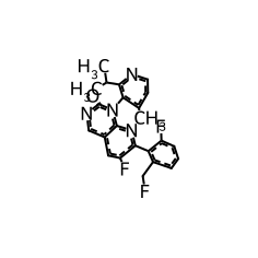 Cc1ccnc(C(C)C)c1-n1c(=O)ncc2cc(F)c(-c3c(F)cccc3CF)nc21